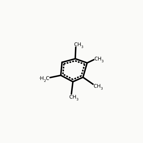 [CH2]c1cc(C)c(C)c(C)c1C